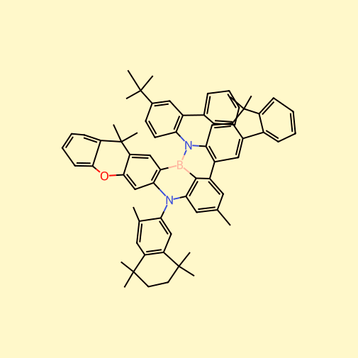 Cc1cc2c3c(c1)N(c1cc4c(cc1C)C(C)(C)CCC4(C)C)c1cc4c(cc1B3N(c1ccc(C(C)(C)C)cc1-c1ccccc1)c1cc3c(cc1-2)-c1ccccc1C3(C)C)C(C)(C)c1ccccc1O4